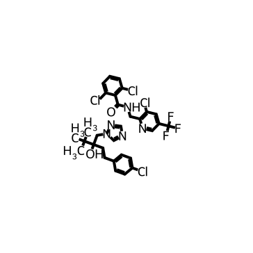 CC(C)(C)C(O)(CCc1ccc(Cl)cc1)Cn1cncn1.O=C(NCc1ncc(C(F)(F)F)cc1Cl)c1c(Cl)cccc1Cl